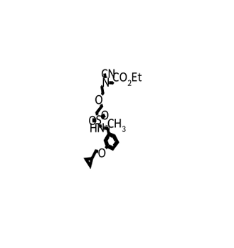 CCOC(=O)CN(C#N)CCOCCS(=O)(=O)N[C@H](C)c1cccc(OCC2CC2)c1